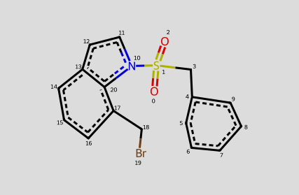 O=S(=O)(Cc1ccccc1)n1ccc2cccc(CBr)c21